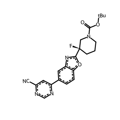 CC(C)(C)OC(=O)N1CCC[C@](F)(c2nc3cc(-c4cc(C#N)ncn4)ccc3o2)C1